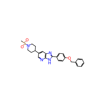 CS(=O)(=O)N1CCC(c2cnc3[nH]c(-c4ccc(OCc5ccccc5)cc4)nc3c2)CC1